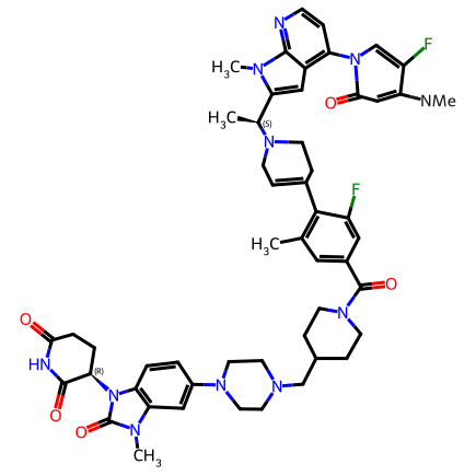 CNc1cc(=O)n(-c2ccnc3c2cc([C@H](C)N2CC=C(c4c(C)cc(C(=O)N5CCC(CN6CCN(c7ccc8c(c7)n(C)c(=O)n8[C@@H]7CCC(=O)NC7=O)CC6)CC5)cc4F)CC2)n3C)cc1F